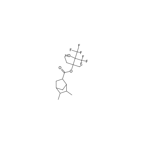 CCC(CC)(OC(=O)C1CC2CC1C(C)C2C)C(O)(C(F)(F)F)C(F)(F)F